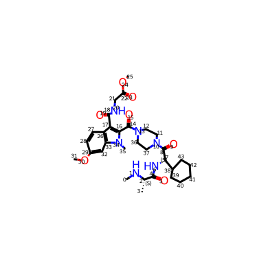 CN[C@@H](C)C(=O)N[C@H](C(=O)N1CCN(C(=O)c2c(C(=O)NCC(=O)OC)c3ccc(OC)cc3n2C)CC1)C1CCCCC1